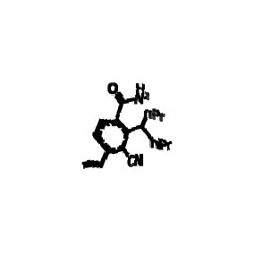 C=Cc1ccc(C(N)=O)c(C(CCC)CCC)c1C#N